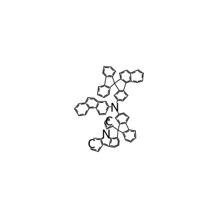 c1ccc2c(c1)-c1ccccc1C21c2cc(N(c3ccc4c(c3)C3(c5ccccc5-4)c4ccccc4-n4c5ccccc5c5cccc3c54)c3ccc4c(ccc5ccccc54)c3)ccc2-c2c1ccc1ccccc21